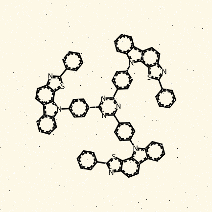 c1ccc(-c2nc3ccc4c5ccccc5n(-c5ccc(-c6nc(-c7ccc(-n8c9ccccc9c9ccc%10nc(-c%11ccccc%11)sc%10c98)cc7)nc(-c7ccc(-n8c9ccccc9c9ccc%10nc(-c%11ccccc%11)sc%10c98)cc7)n6)cc5)c4c3s2)cc1